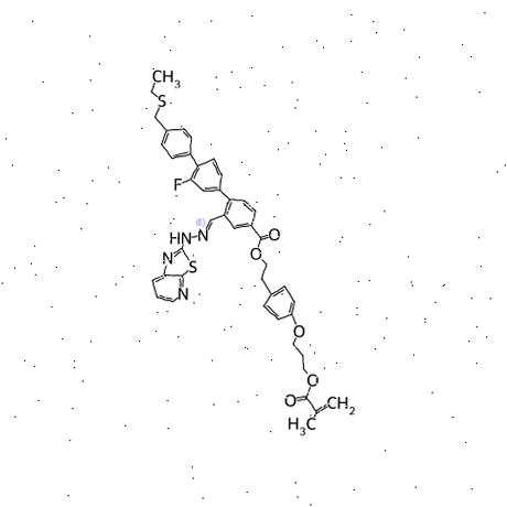 C=C(C)C(=O)OCCCOc1ccc(CCOC(=O)c2ccc(-c3ccc(-c4ccc(CSCC)cc4)c(F)c3)c(/C=N/Nc3nc4cccnc4s3)c2)cc1